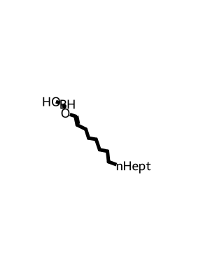 CCCCCCCCCCCCC/C=C/OBO